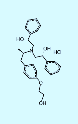 C[C@H](Cc1ccc(OCCO)cc1)N(C[C@H](O)c1ccccc1)C[C@H](O)c1ccccc1.Cl